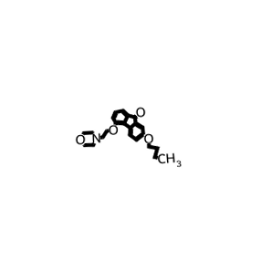 CCCCOc1ccc2c(c1)C(=O)c1cccc(OCCN3CCOCC3)c1-2